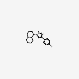 Fc1ccc(-c2cn(C3CCCN4CCCCC34)nn2)cc1